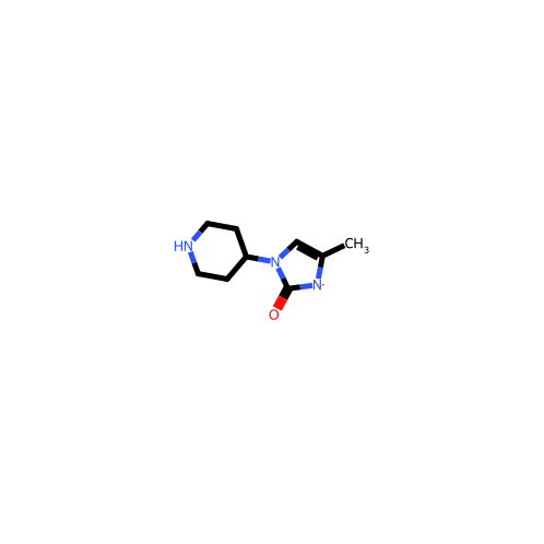 CC1=CN(C2CCNCC2)C(=O)[N]1